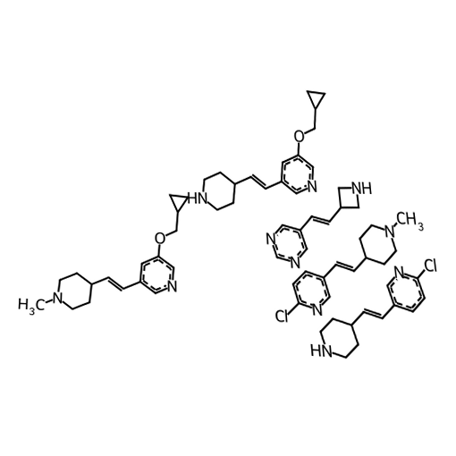 C(=CC1CCNCC1)c1cncc(OCC2CC2)c1.C(=CC1CNC1)c1cncnc1.CN1CCC(C=Cc2ccc(Cl)nc2)CC1.CN1CCC(C=Cc2cncc(OCC3CC3)c2)CC1.Clc1ccc(C=CC2CCNCC2)cn1